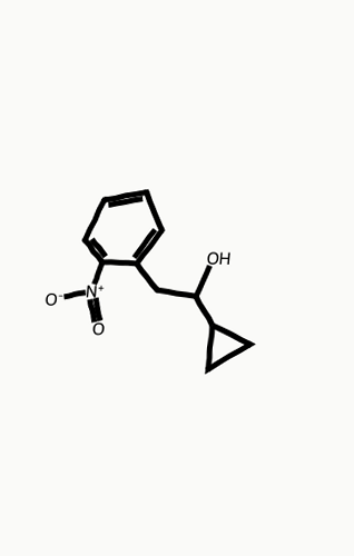 O=[N+]([O-])c1ccccc1CC(O)C1CC1